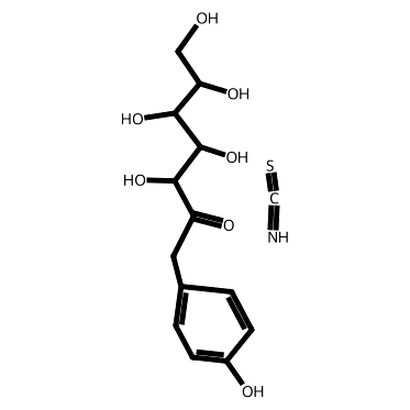 N=C=S.O=C(Cc1ccc(O)cc1)C(O)C(O)C(O)C(O)CO